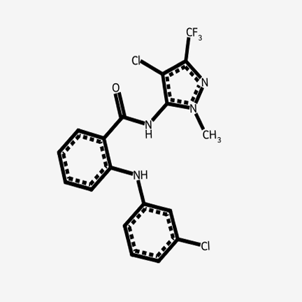 Cn1nc(C(F)(F)F)c(Cl)c1NC(=O)c1ccccc1Nc1cccc(Cl)c1